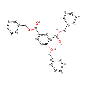 O=C(OCc1ccccc1)c1ccc(OCc2ccccc2)c(C(=O)OCc2ccccc2)c1